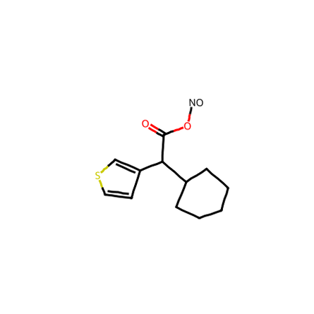 O=NOC(=O)C(c1ccsc1)C1CCCCC1